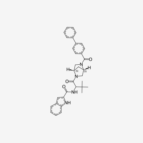 CC(C)(C)C(NC(=O)c1cc2ccccc2[nH]1)C(=O)N1C[C@@H]2C[C@H]1CN2C(=O)c1ccc(-c2ccccc2)cc1